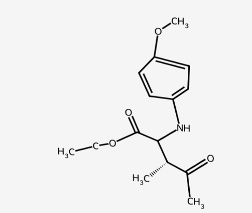 CCOC(=O)C(Nc1ccc(OC)cc1)[C@@H](C)C(C)=O